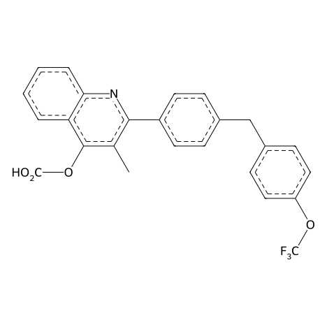 Cc1c(-c2ccc(Cc3ccc(OC(F)(F)F)cc3)cc2)nc2ccccc2c1OC(=O)O